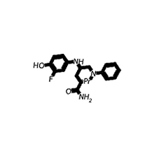 CCCN(CC(CCC(N)=O)Nc1ccc(O)c(F)c1)c1ccccc1